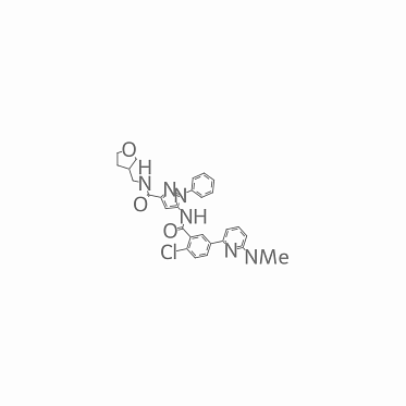 CNc1cccc(-c2ccc(Cl)c(C(=O)Nc3cc(C(=O)NCC4CCOC4)nn3-c3ccccc3)c2)n1